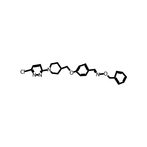 Clc1ccc(N2CCC(COc3ccc(C=NOCc4ccccc4)cc3)CC2)nn1